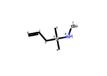 C=CC[Si](C)(C)NC(C)(C)C